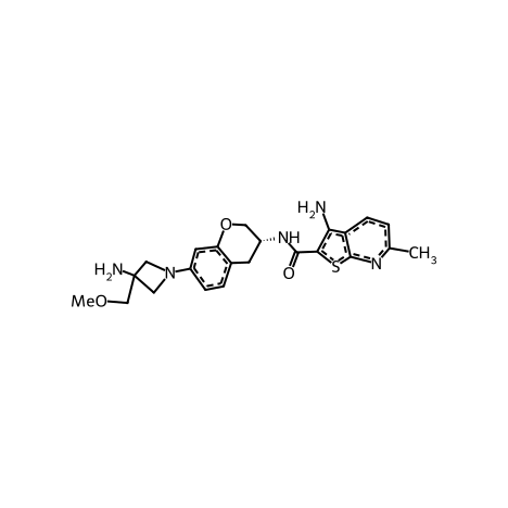 COCC1(N)CN(c2ccc3c(c2)OC[C@H](NC(=O)c2sc4nc(C)ccc4c2N)C3)C1